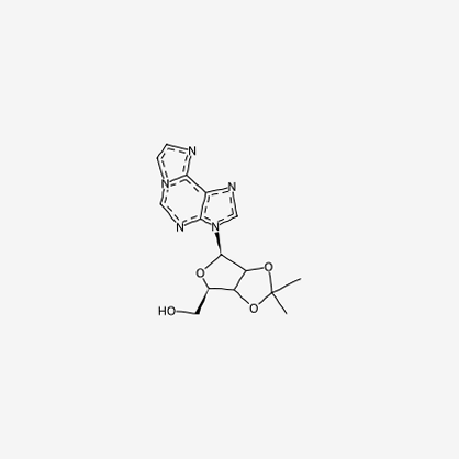 CC1(C)OC2C(O1)[C@@H](CO)O[C@H]2n1cnc2c1ncn1ccnc21